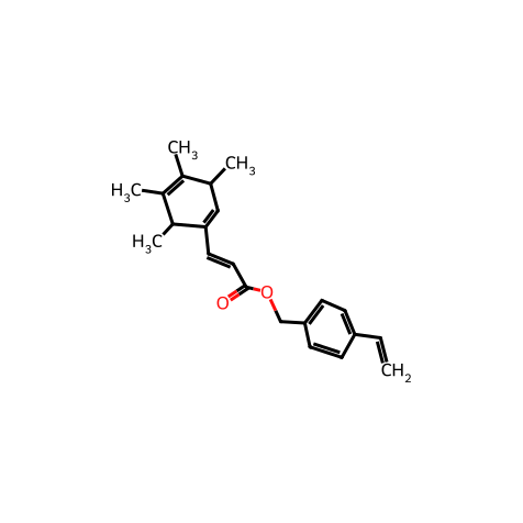 C=Cc1ccc(COC(=O)/C=C/C2=CC(C)C(C)=C(C)C2C)cc1